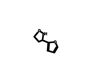 c1coc(C2CCON2)c1